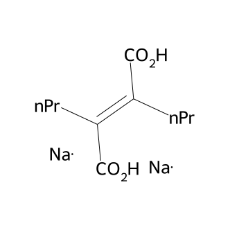 CCCC(C(=O)O)=C(CCC)C(=O)O.[Na].[Na]